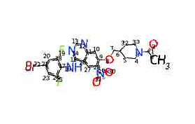 CC(=O)N1CCC(COc2cc3ncnc(Nc4c(F)cc(Br)cc4F)c3cc2[N+](=O)[O-])CC1